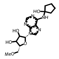 COC[C@H]1O[C@@H](n2cnc3c(NC4(O)CCCC4)ncnc32)C(O)C1O